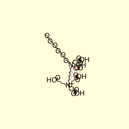 COCCOCCOCCOCCOCCOCCN1/C(=C/C=C/C=C/C=C/C2=[N+](CCCCCC(=O)O)c3ccc(S(=O)(=O)O)cc3C2(C)CCCS(=O)(=O)O)C(C)(CCCS(=O)(=O)O)c2cc(S(=O)(=O)O)ccc21